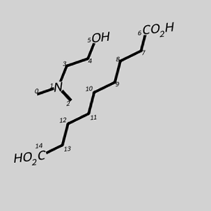 CN(C)CCO.O=C(O)CCCCCCCC(=O)O